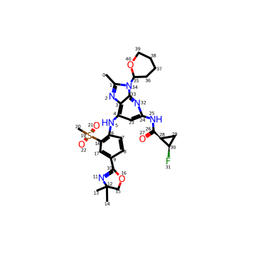 Cc1nc2c(Nc3ccc(C4=NC(C)(C)CO4)cc3S(C)(=O)=O)cc(NC(=O)[C@H]3C[C@H]3F)nc2n1C1CCCCO1